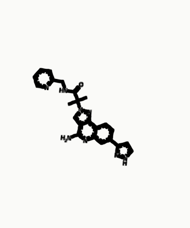 CC(C)(C(=O)NCc1ccccn1)n1cc2c(N)nc3cc(-c4cc[nH]n4)ccc3c2n1